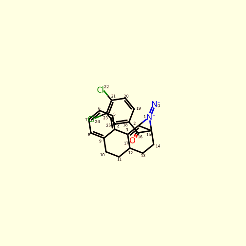 [N-]=[N+]1C2=C3c4ccccc4CCC3CCC21C(=O)c1ccc(Cl)c(Cl)c1